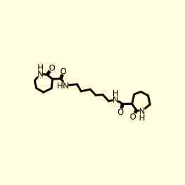 O=C(NCCCCCCNC(=O)C1CCCCNC1=O)C1CCCCNC1=O